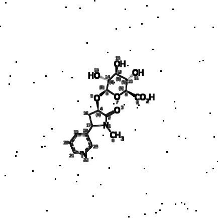 CN1C(=O)[C@H](O[C@@H]2O[C@H](C(=O)O)[C@@H](O)[C@H](O)[C@H]2O)CC1c1cccnc1